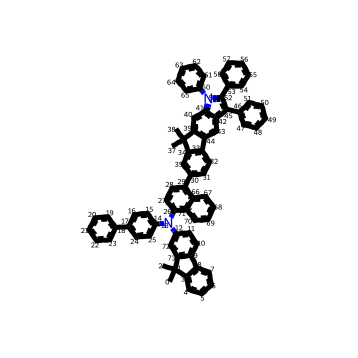 CC1(C)c2ccccc2-c2ccc(N(c3ccc(-c4ccccc4)cc3)c3ccc(-c4ccc5c(c4)C(C)(C)c4cc6c(cc4-5)c(-c4ccccc4)c(-c4ccccc4)n6-c4ccccc4)c4ccccc34)cc21